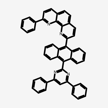 c1ccc(-c2cc(-c3ccccc3)nc(-c3c4ccccc4c(-c4ccc5ccc6ccc(-c7ccccc7)nc6c5n4)c4ccccc34)n2)cc1